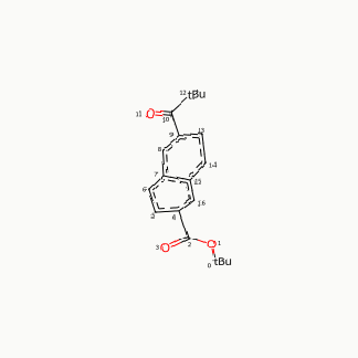 CC(C)(C)OC(=O)c1ccc2cc(C(=O)C(C)(C)C)ccc2c1